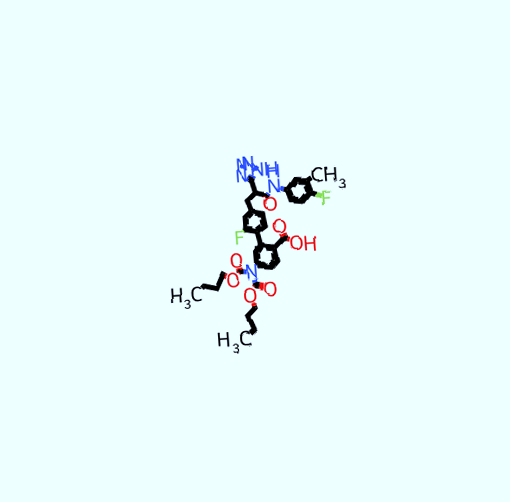 CCCCOC(=O)N(C(=O)OCCCC)c1ccc(C(=O)O)c(-c2ccc(CC(C(=O)Nc3ccc(F)c(C)c3)c3nnn[nH]3)cc2F)c1